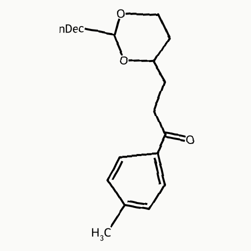 CCCCCCCCCCC1OCCC(CCC(=O)c2ccc(C)cc2)O1